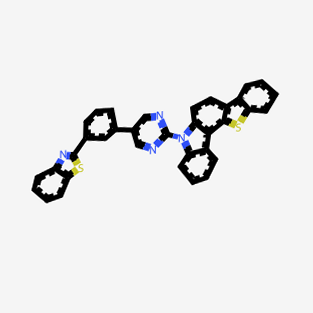 c1cc(-c2cnc(-n3c4ccccc4c4c5sc6ccccc6c5ccc43)nc2)cc(-c2nc3ccccc3s2)c1